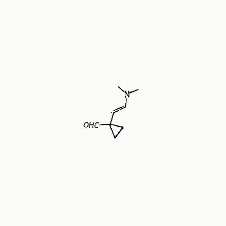 CN(C)C=[C]C1(C=O)CC1